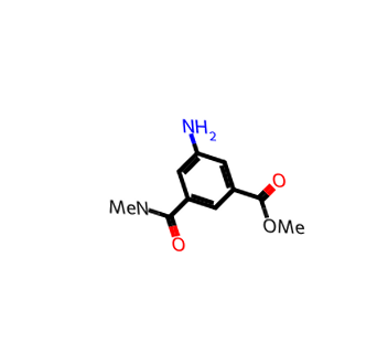 CNC(=O)c1cc(N)cc(C(=O)OC)c1